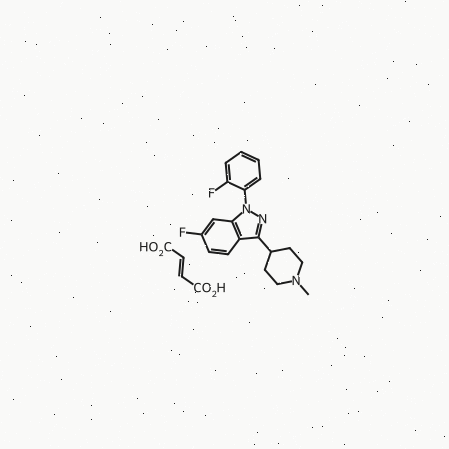 CN1CCC(c2nn(-c3ccccc3F)c3cc(F)ccc23)CC1.O=C(O)C=CC(=O)O